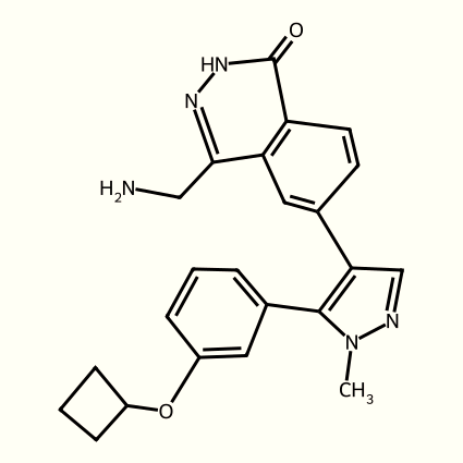 Cn1ncc(-c2ccc3c(=O)[nH]nc(CN)c3c2)c1-c1cccc(OC2CCC2)c1